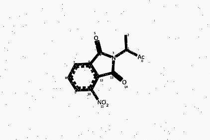 CC(=O)C(C)N1C(=O)c2cccc([N+](=O)[O-])c2C1=O